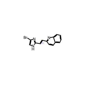 Brc1c[nH]c(/C=C/c2ccc3ccccc3n2)n1